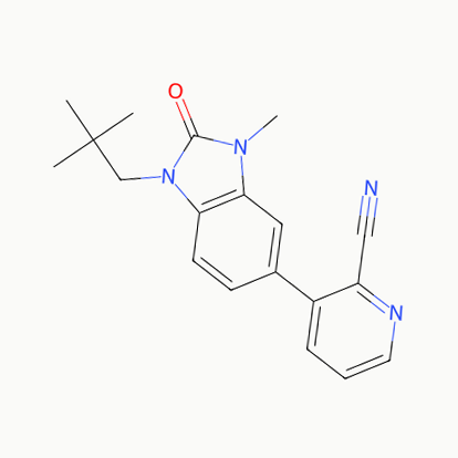 Cn1c(=O)n(CC(C)(C)C)c2ccc(-c3cccnc3C#N)cc21